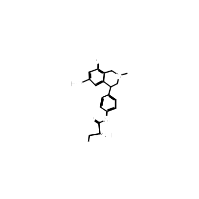 CC[C@H](N)C(=O)Nc1ccc(C2CN(C)Cc3c(Cl)cc(O)cc32)cc1